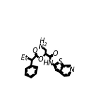 CCC(C(=O)OC(CN)C(=O)Nc1cc2ccncc2s1)c1ccccc1